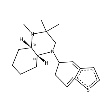 CN1[C@H]2CCCC[C@H]2N(C2C=c3ccsc3=CC2)CC1(C)C